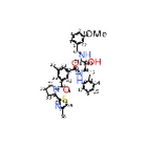 COc1cccc(CNC[C@@H](O)[C@H](Cc2ccccc2)NC(=O)c2cc(C)cc(C(=O)N3CCCC3c3nc(C)cs3)c2)c1